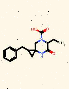 CCC1C(=O)NC2(CC2Cc2ccccc2)CN1C(=O)O